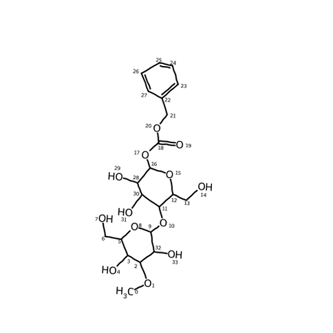 COC1C(O)C(CO)OC(OC2C(CO)OC(OC(=O)OCc3ccccc3)C(O)C2O)C1O